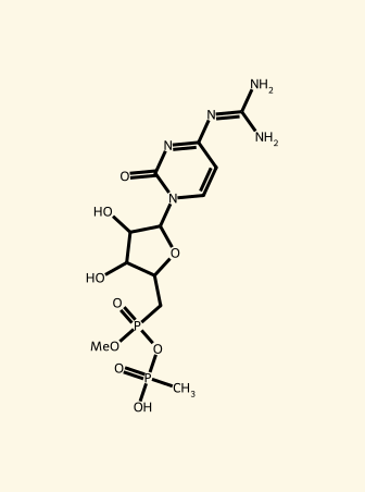 COP(=O)(CC1OC(n2ccc(N=C(N)N)nc2=O)C(O)C1O)OP(C)(=O)O